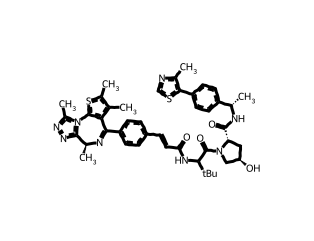 Cc1ncsc1-c1ccc([C@H](C)NC(=O)[C@@H]2C[C@@H](O)CN2C(=O)C(NC(=O)/C=C/c2ccc(C3=N[C@@H](C)c4nnc(C)n4-c4sc(C)c(C)c43)cc2)C(C)(C)C)cc1